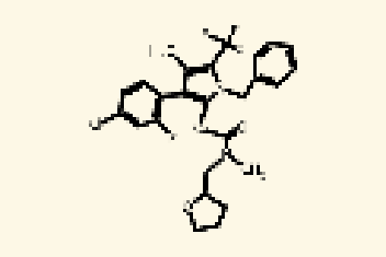 Cc1c(-c2ccc(Cl)cc2F)c(OC(=O)N(C)CC2CCCO2)n(Cc2ccccc2)c1C(F)(F)F